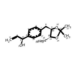 C=C[C@H](O)c1ccc(C[C@H]2OC(C)(C)O[C@@H]2CCCCCCC)cc1